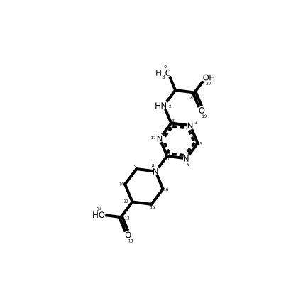 CC(Nc1ncnc(N2CCC(C(=O)O)CC2)n1)C(=O)O